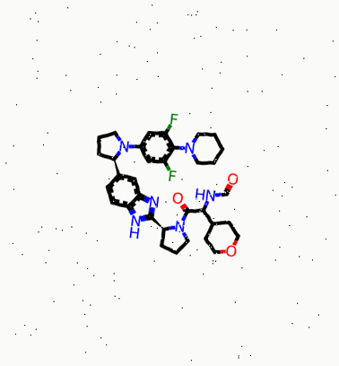 O=CNC(C(=O)N1CCC[C@H]1c1nc2cc([C@H]3CCCN3c3cc(F)c(N4CCCCC4)c(F)c3)ccc2[nH]1)C1CCOCC1